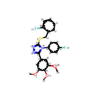 COc1cc(-c2nnc(SCc3ccccc3F)n2-c2ccc(F)cc2)cc(OC)c1OC